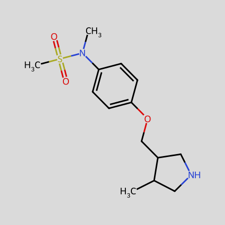 CC1CNCC1COc1ccc(N(C)S(C)(=O)=O)cc1